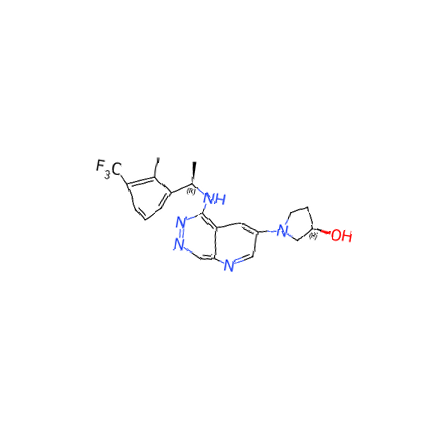 Cc1c([C@@H](C)Nc2nncc3ncc(N4CC[C@@H](O)C4)cc23)cccc1C(F)(F)F